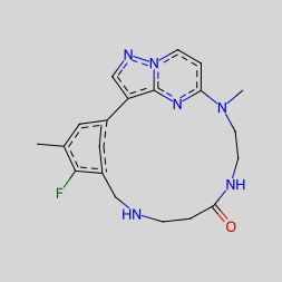 Cc1cc2cc(c1F)CNCCC(=O)NCCN(C)c1ccn3ncc-2c3n1